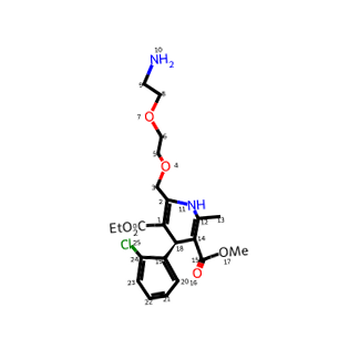 CCOC(=O)C1=C(COCCOCCN)NC(C)=C(C(=O)OC)[C@H]1c1ccccc1Cl